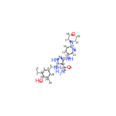 CCc1cc(CNc2[nH]nc(Nc3ccc(N4CCOCC4)nc3)c2C(N)=O)cc(C)c1O